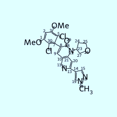 COc1cc(OC)c(Cl)c(-c2cc3cnc(-c4cnn(C)c4)cc3n([C@H]3CCOC3)c2=O)c1Cl